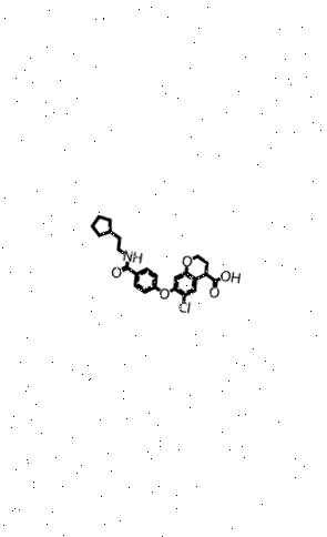 O=C(NCCC1CCCC1)c1ccc(Oc2cc3c(cc2Cl)C(C(=O)O)CCO3)cc1